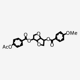 COc1ccc(C(=O)OC2COC3C(OC(=O)c4ccc(OC(C)=O)cc4)COC23)cc1